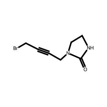 O=C1NCCN1CC#CCBr